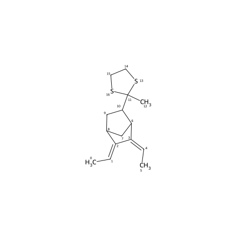 CC=C1/C(=C\C)C2CC1CC2C1(C)SCCS1